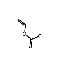 C=COC(=C)Cl